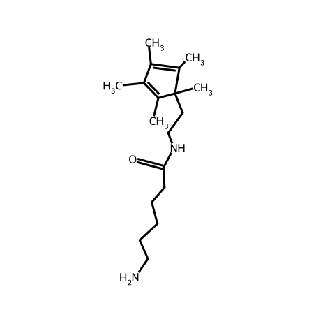 CC1=C(C)C(C)(CCNC(=O)CCCCCN)C(C)=C1C